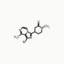 Cc1nccn2c(C3CCN(C)C(=O)C3)nc(Br)c12